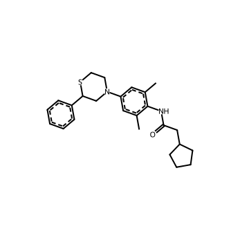 Cc1cc(N2CCSC(c3ccccc3)C2)cc(C)c1NC(=O)CC1CCCC1